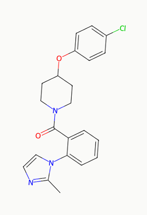 Cc1nccn1-c1ccccc1C(=O)N1CCC(Oc2ccc(Cl)cc2)CC1